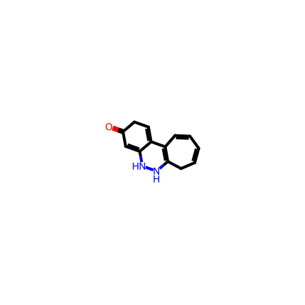 O=C1C=C2NNC3=C(C=CC=CC3)C2=CC1